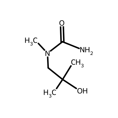 CN(CC(C)(C)O)C(N)=O